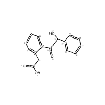 O=C(O)Cc1ccccc1C(=O)C(O)c1ccccc1